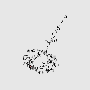 O=C(CCCCCN1CCN2CCNC(=O)c3cccc(c3O)C(=O)NCCN(CCNC(=O)c3cccc(c3O)C1=O)CCN1CCNC(=O)c3cccc(c3O)C(=O)NCCN(CCNC(=O)c3cccc(c3O)C(=O)NCC1)CC2)NCCOCCOCCCCCCCl